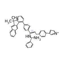 CC1(C)c2cc3ccccc3cc2-c2c(-c3ccc(/C(=C/Cc4ccc(C5=CC=[N+]=C5)cc4)NC(N)c4ccccc4)cc3)cccc21